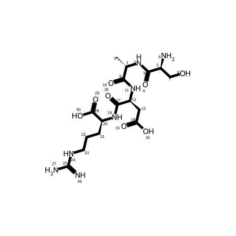 C[C@H](NC(=O)[C@@H](N)CO)C(=O)N[C@@H](CC(=O)O)C(=O)N[C@@H](CCCNC(=N)N)C(=O)O